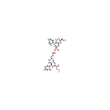 CCOC(=O)c1cc(-c2ccc(F)cc2F)c2c(n1)O[C@@H](COCCOC(=O)c1cc(-c3ccc(F)cc3F)c3c(n1)O[C@H](CO)CC3)CC2